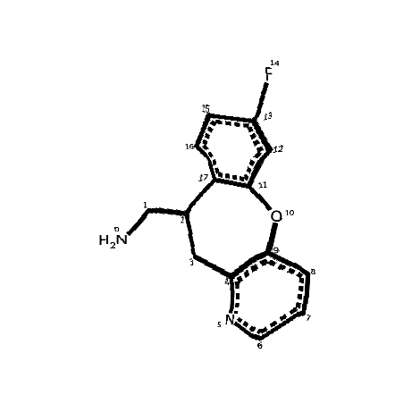 NCC1Cc2ncccc2Oc2cc(F)ccc21